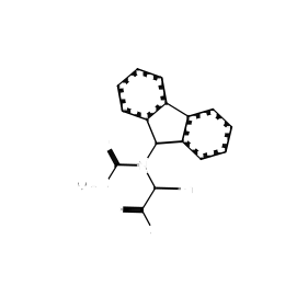 COC(=O)N(C1c2ccccc2-c2ccccc21)C(C(=O)Cl)C(C)C